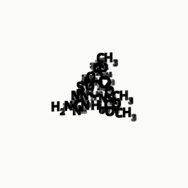 CC(=O)OC(C)(C)C(=O)NCCCn1c(SC2=COC(c3ccccc3-c3ccc(C)o3)O2)nc2c(N)ncnc21